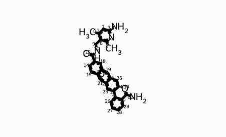 Cc1cc(N)nc(C)c1CNC(=O)c1ccc2c(c1)c1oc2c2cc(-c3ccccc3C(N)=O)ccc21